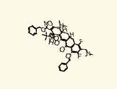 CN(C)Cc1c(F)c2c(c(OCc3ccccc3)c1F)C(=O)C1=C(O)[C@]3(O[Si](C)(C)C(C)(C)C)C(=O)c4c(OCc5ccccc5)noc4[C@@H](N(C)C)[C@@H]3C[C@@H]1C2